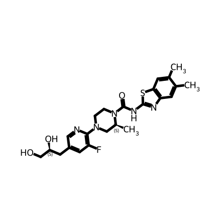 Cc1cc2nc(NC(=O)N3CCN(c4ncc(C[C@H](O)CO)cc4F)C[C@@H]3C)sc2cc1C